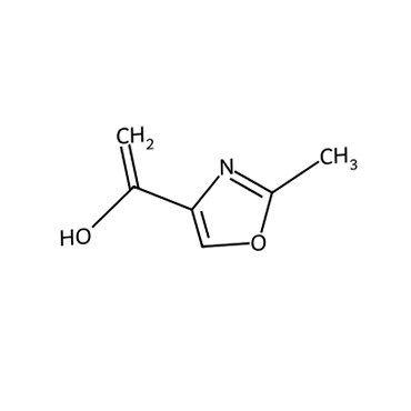 C=C(O)c1coc(C)n1